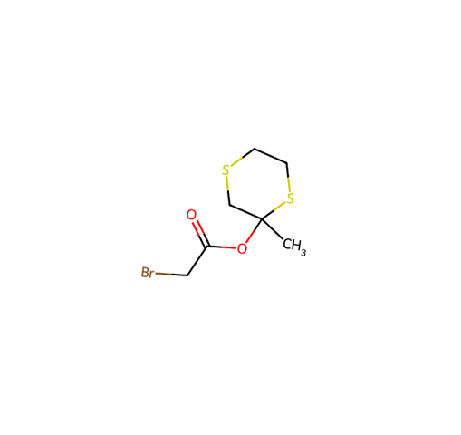 CC1(OC(=O)CBr)CSCCS1